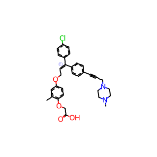 Cc1cc(OC/C=C(/c2ccc(Cl)cc2)c2ccc(C#CCN3CCN(C)CC3)cc2)ccc1OCC(=O)O